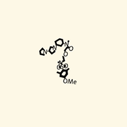 COc1cc(C)c(S(=O)(=O)N(C)CCOCC(=O)N(C)[C@H]2CCC[C@@H](N3CC[C@H](N4CCCC4)C3)C2)c(C)c1